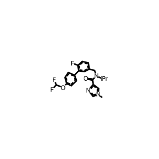 CC(C)N(Cc1ccc(F)c(-c2ccc(OC(F)F)cc2)c1)C(=O)c1cn(C)cn1